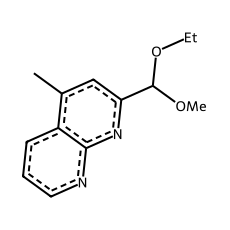 CCOC(OC)c1cc(C)c2cccnc2n1